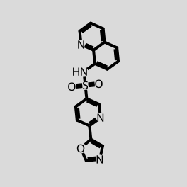 O=S(=O)(Nc1cccc2cccnc12)c1ccc(-c2cnco2)nc1